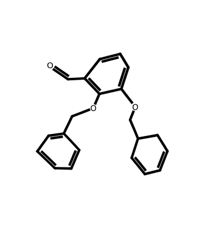 O=Cc1cccc(OCC2C=CC=CC2)c1OCc1ccccc1